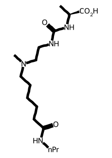 CCCNC(=O)CCCCCN(C)CCNC(=O)N[C@@H](C)C(=O)O